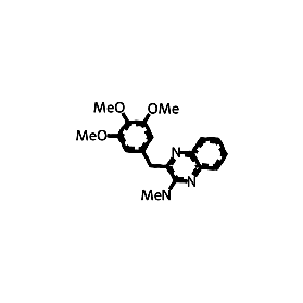 CNc1nc2ccccc2nc1Cc1cc(OC)c(OC)c(OC)c1